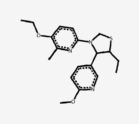 CCOc1ccc(N2CSC(CC)C2c2ccc(OC)nc2)nc1C